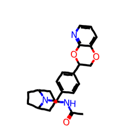 CC(=O)NC1CC2CCC(C1)N2Cc1ccc(C2COc3cccnc3O2)cc1